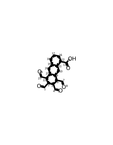 O=Cc1c(C=O)c(C=O)c2cc3c(C(=O)O)cccc3cc2c1C=O